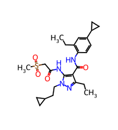 CCc1cc(C2CC2)ccc1NC(=O)c1c(CC)nn(CCC2CC2)c1NC(=O)CS(C)(=O)=O